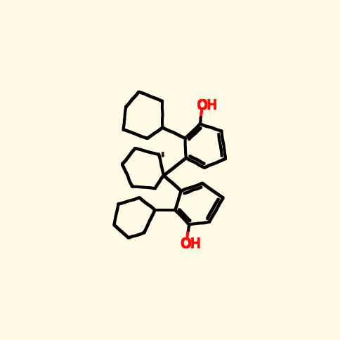 Oc1cccc(C2(c3cccc(O)c3C3CCCCC3)[C]CCCC2)c1C1CCCCC1